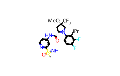 CO[C@@]1(C(F)(F)F)C[C@@H](C(=O)Nc2ccnc([S@](C)(=N)=O)c2)N(c2ccc(F)c(F)c2C(C)C)C1